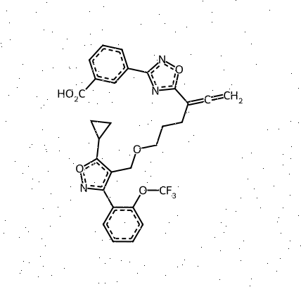 C=C=C(CCCOCc1c(-c2ccccc2OC(F)(F)F)noc1C1CC1)c1nc(-c2cccc(C(=O)O)c2)no1